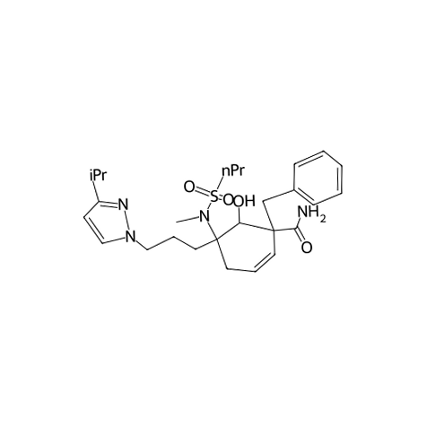 CCCS(=O)(=O)N(C)C1(CCCn2ccc(C(C)C)n2)CC=CC(Cc2ccccc2)(C(N)=O)C1O